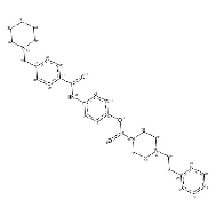 O=C(Nc1ccc(OC(=O)N2CCN(CCc3ccccn3)CC2)nc1)c1ccc(CN2CCCCC2)cc1